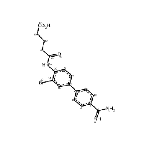 N=C(N)c1ccc(-c2ccc(NC(=O)CCCC(=O)O)c(Br)c2)cc1